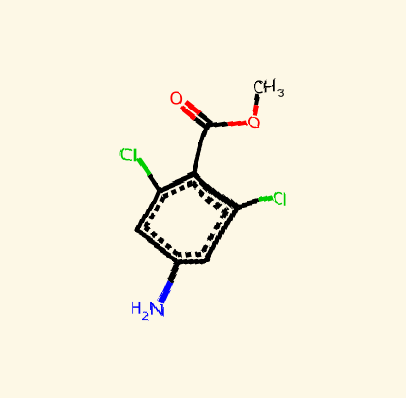 COC(=O)c1c(Cl)cc(N)cc1Cl